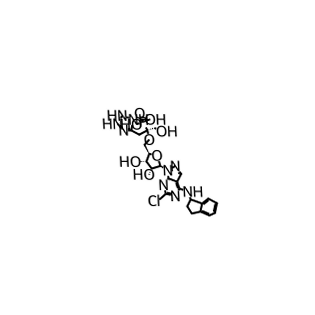 O=P(O)(O)[C@](CO)(CC1=NNNN1)OC[C@H]1O[C@@H](n2ncc3c(NC4CCc5ccccc54)nc(Cl)nc32)[C@H](O)[C@@H]1O